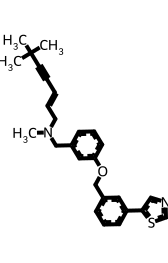 CN(C/C=C/C#CC(C)(C)C)Cc1cccc(OCc2cccc(-c3cncs3)c2)c1